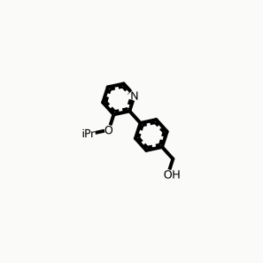 CC(C)Oc1cccnc1-c1ccc(CO)cc1